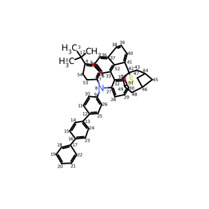 CC(C)(C)C1=CC=C(N(c2ccc(-c3ccc(-c4ccccc4)cc3)cc2)c2ccccc2-c2cccc3cccc(C45CC6CC(C6)CC(C4)S5)c23)CC1